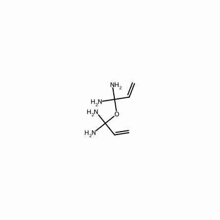 C=CC(N)(N)OC(N)(N)C=C